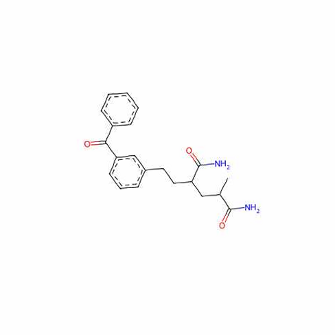 CC(CC(CCc1cccc(C(=O)c2ccccc2)c1)C(N)=O)C(N)=O